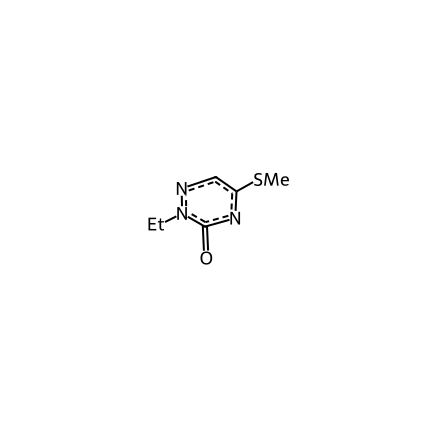 CCn1ncc(SC)nc1=O